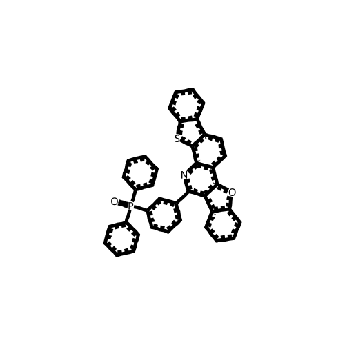 O=P(c1ccccc1)(c1ccccc1)c1cccc(-c2nc3c(ccc4c5ccccc5sc43)c3oc4ccccc4c23)c1